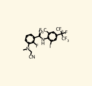 CN(CC#N)c1cccc(C(=O)Nc2c(I)cc(C(F)(C(F)(F)F)C(F)(F)F)cc2C(F)(F)F)c1F